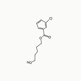 O=C(OCCCCCO)c1cccc(Cl)c1